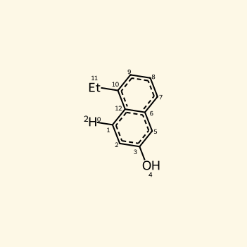 [2H]c1cc(O)cc2cccc(CC)c12